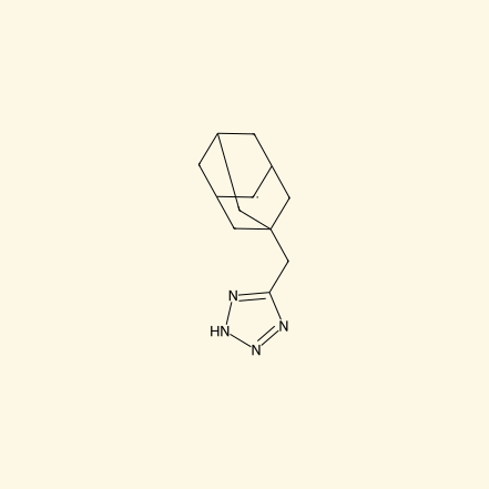 [CH]1C2CC3CC1CC(Cc1nn[nH]n1)(C2)C3